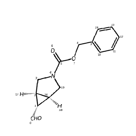 O=C[C@@H]1[C@H]2CN(C(=O)OCc3ccccc3)C[C@@H]12